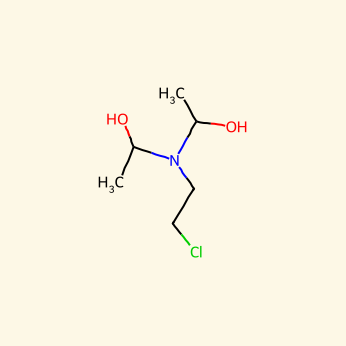 CC(O)N(CCCl)C(C)O